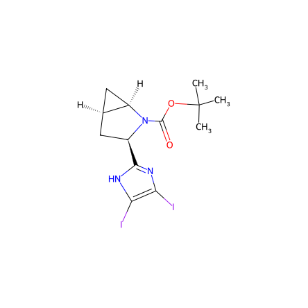 CC(C)(C)OC(=O)N1[C@@H](c2nc(I)c(I)[nH]2)C[C@H]2C[C@H]21